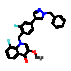 O=C(O)Oc1cn(Cc2ccc(-c3cnn(Cc4ccccc4)c3)cc2F)c2c(F)cccc2c1=O